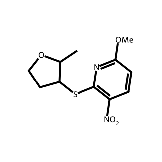 COc1ccc([N+](=O)[O-])c(SC2CCOC2C)n1